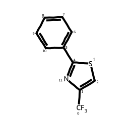 FC(F)(F)c1csc(-c2cc[c]cc2)n1